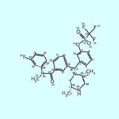 C[C@@H]1CN([C@@H](c2cccc(OS(=O)(=O)C(F)(F)F)c2)c2cccc(C(=O)N(C)c3cccc(F)c3)c2)[C@H](C)CN1